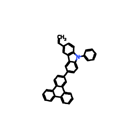 C=Cc1ccc2c(c1)c1cc(-c3ccc4c5ccccc5c5ccccc5c4c3)ccc1n2-c1ccccc1